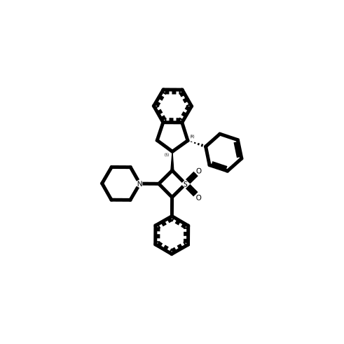 O=S1(=O)C(c2ccccc2)C(N2CCCCC2)C1[C@H]1Cc2ccccc2[C@@H]1C1C=CC=CC1